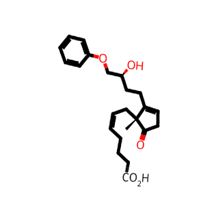 C[C@]1(C/C=C\CCCC(=O)O)C(=O)CC=C1CC[C@H](O)COc1ccccc1